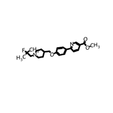 COC(=O)c1ccc(-c2ccc(OCC3CCN(CC(C)(C)F)CC3)cc2)nc1